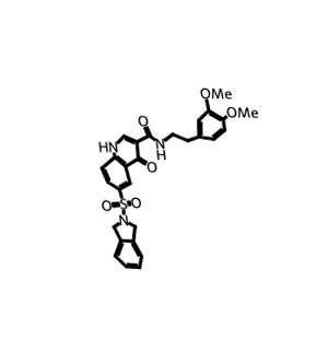 COc1ccc(CCNC(=O)c2c[nH]c3ccc(S(=O)(=O)N4Cc5ccccc5C4)cc3c2=O)cc1OC